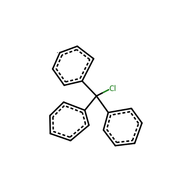 ClC(c1cc[c]cc1)(c1ccccc1)c1ccccc1